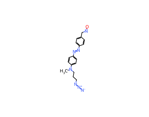 CN(CCCN=[N+]=[N-])c1ccc(N=Nc2ccc(CN=O)cc2)cc1